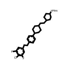 CCCCCCC1CCC(CCC2CCC(c3ccc(CCc4cc(F)c(Cl)c(F)c4)cc3)CC2)CC1